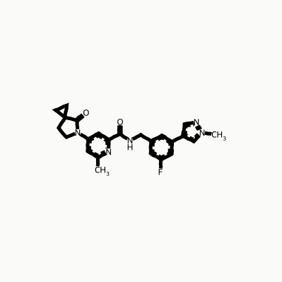 Cc1cc(N2CCC3(CC3)C2=O)cc(C(=O)NCc2cc(F)cc(-c3cnn(C)c3)c2)n1